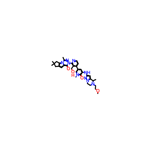 COCCN1CCn2nc(Nc3cc(-c4ccnc(-n5nc(C)n6c7c(cc6c5=O)CC(C)(C)C7)c4CO)cn(C)c3=O)cc2C1C